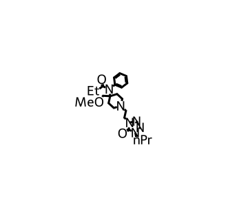 CCCn1nnn(CCN2CCC(COC)(N(C(=O)CC)c3ccccc3)CC2)c1=O